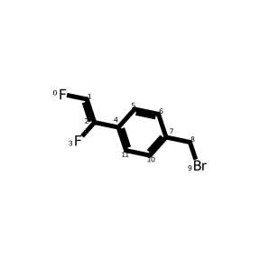 FC=C(F)c1ccc(CBr)cc1